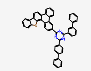 c1ccc(-c2ccc(-c3nc(-c4cccc(-c5ccccc5)c4)nc(-c4ccc5c(c4)c4ccccc4c4ccc6c7ccccc7sc6c45)n3)cc2)cc1